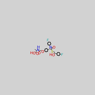 C[C@@H](NC(=O)COc1ccc([C@@H]2[C@@H](SCC(O)c3ccc(F)cc3)C(=O)N2c2ccc(F)cc2)cc1)C(=O)O